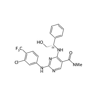 CNC(=O)c1cnc(Nc2ccc(C(F)(F)F)c(Cl)c2)nc1N[C@H](CO)c1ccccc1